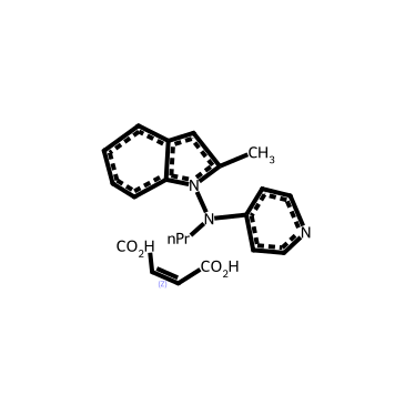 CCCN(c1ccncc1)n1c(C)cc2ccccc21.O=C(O)/C=C\C(=O)O